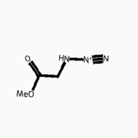 COC(=O)CN[N+]#N